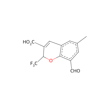 Cc1cc(C=O)c2c(c1)C=C(C(=O)O)C(C(F)(F)F)O2